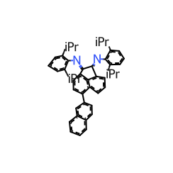 CC(C)c1cccc(C(C)C)c1N=C1C(=Nc2c(C(C)C)cccc2C(C)C)c2ccc(-c3ccc4ccccc4c3)c3cccc1c23